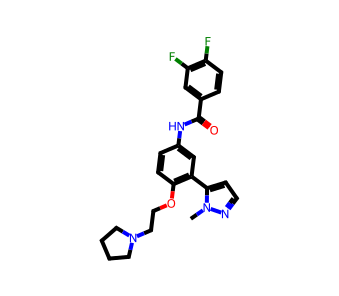 Cn1nccc1-c1cc(NC(=O)c2ccc(F)c(F)c2)ccc1OCCN1CCCC1